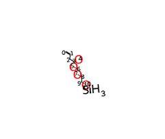 C=CCC(=O)OCOCCO[SiH3]